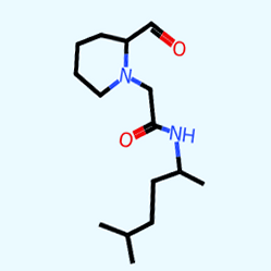 CC(C)CCC(C)NC(=O)CN1CCCCC1C=O